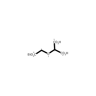 CCOC(=O)COC(C(=O)O)C(=O)O